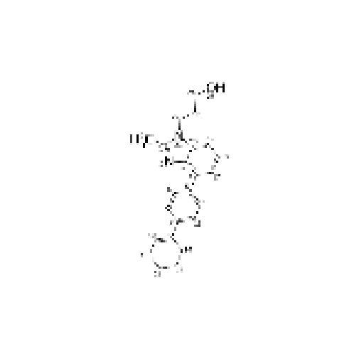 Cc1nc2c(-c3ccc(C4=CCCCC4)cc3)cccc2n1CCCO